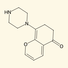 O=C1CCC(N2CCNCC2)=C2OC=CC=C12